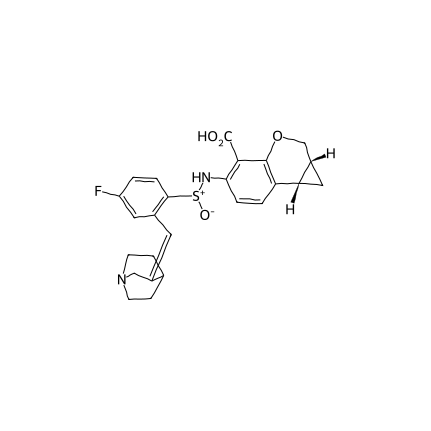 O=C(O)c1c(N[S+]([O-])c2ccc(F)cc2/C=C2\CN3CCC2CC3)ccc2c1OC[C@@H]1C[C@H]21